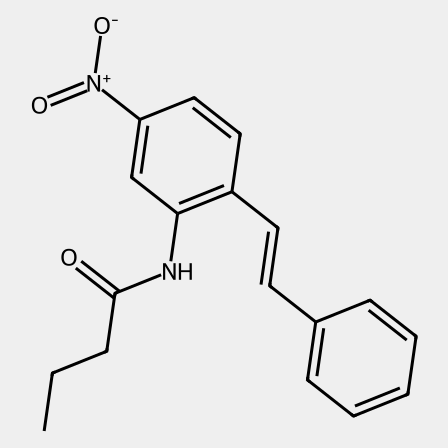 CCCC(=O)Nc1cc([N+](=O)[O-])ccc1C=Cc1ccccc1